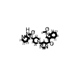 CC(=O)n1cc(C(=O)c2cc(N3CCC(n4c(=O)[nH]c5ncccc54)CC3)ncn2)c2ccccc21